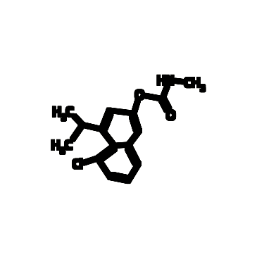 CNC(=O)Oc1cc(C(C)C)c2c(Cl)cccc2c1